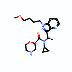 COCCCCn1nc([C@@H](C)N(C(=O)[C@H]2CNCCO2)C2CC2)c2ncccc21